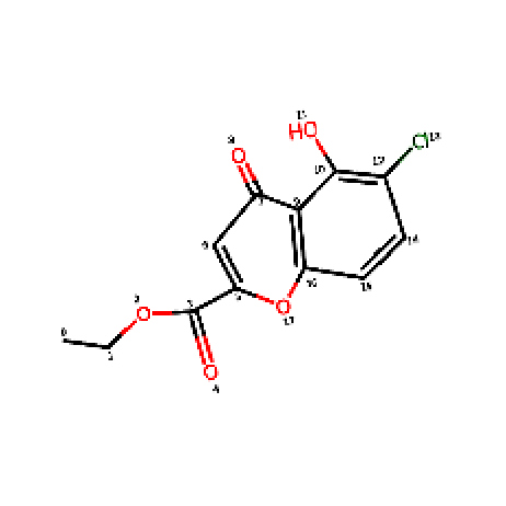 CCOC(=O)c1cc(=O)c2c(O)c(Cl)ccc2o1